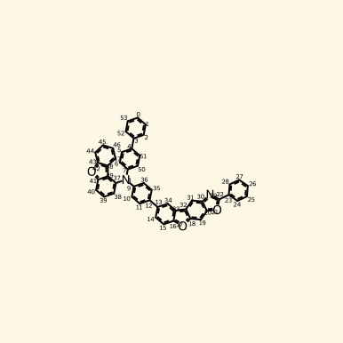 c1ccc(-c2ccc(N(c3ccc(-c4ccc5oc6cc7oc(-c8ccccc8)nc7cc6c5c4)cc3)c3cccc4oc5ccccc5c34)cc2)cc1